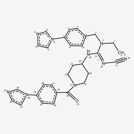 CCN(Cc1ccc(-n2ccnc2)cc1)/C(=N\C#N)NC1CCN(C(=O)c2ccc(-n3ccnc3)cc2)CC1